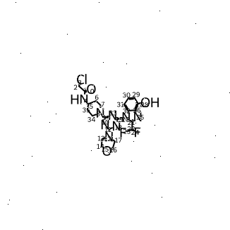 O=C(CCl)NC1CCN(c2nc(N3CCOCC3)nc(-n3c(C(F)F)nc4c(O)cccc43)n2)CC1